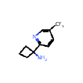 NC1(c2ccc(C(F)(F)F)cn2)CCC1